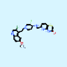 COc1ccc2ncc(Cl)c(CCN3CC[C@H](NCc4ccc5c(n4)NC(=O)CS5)[C@@H](F)C3)c2c1